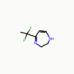 CC(F)(F)C1=NCCNC=C1